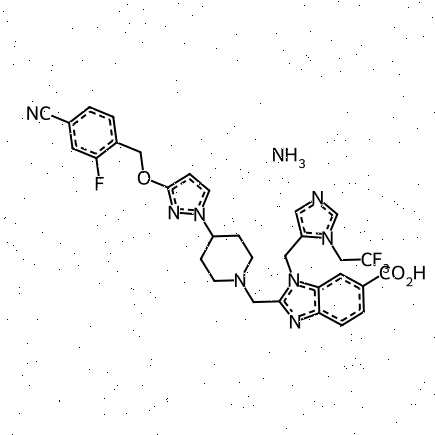 N.N#Cc1ccc(COc2ccn(C3CCN(Cc4nc5ccc(C(=O)O)cc5n4Cc4cncn4CC(F)(F)F)CC3)n2)c(F)c1